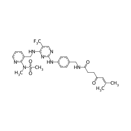 CC(C)=CC(=O)CCC(=O)NCc1ccc(Nc2ncc(C(F)(F)F)c(NCc3cccnc3N(C)S(C)(=O)=O)n2)cc1